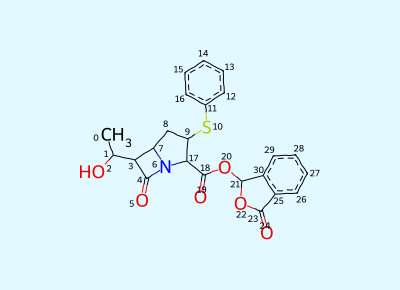 CC(O)C1C(=O)N2C1CC(Sc1ccccc1)C2C(=O)OC1OC(=O)c2ccccc21